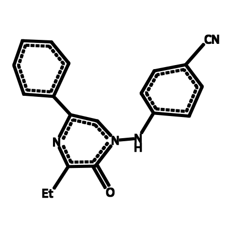 CCc1nc(-c2ccccc2)cn(Nc2ccc(C#N)cc2)c1=O